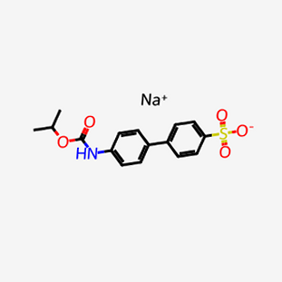 CC(C)OC(=O)Nc1ccc(-c2ccc(S(=O)(=O)[O-])cc2)cc1.[Na+]